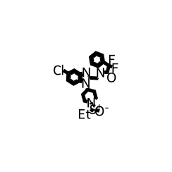 CC[S+]([O-])N1CCC(n2c(CN3C(=O)C(F)(F)c4ccccc43)nc3cc(Cl)ccc32)CC1